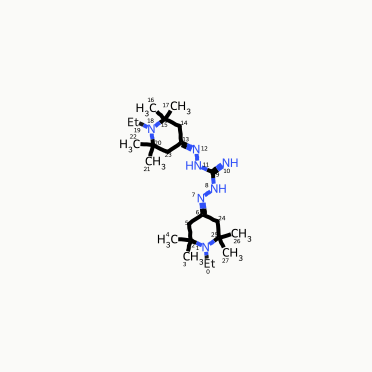 CCN1C(C)(C)CC(=NNC(=N)NN=C2CC(C)(C)N(CC)C(C)(C)C2)CC1(C)C